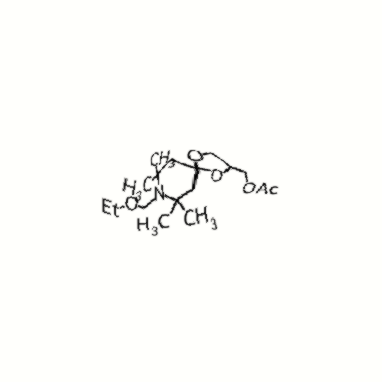 CCOCN1C(C)(C)CC2(CC1(C)C)OCC(COC(C)=O)O2